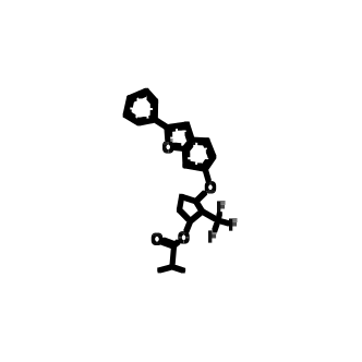 CC(C)C(=O)OC1CCC(Oc2ccc3cc(-c4ccccc4)oc3c2)C1C(F)(F)F